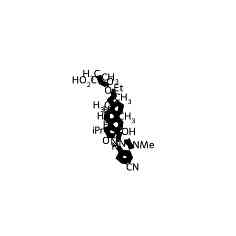 CC[C@H](CC[C@@]1(C)[C@H](C)CC[C@]2(C)[C@@H]1CC[C@@H]1C3=C(C(C)C)C(=O)C[C@]3([C@@H](O)c3nnc(-c4ccc(C#N)cc4)n3CCNC)CC[C@]12C)OC(=O)CC(C)(C)C(=O)O